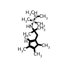 CC1=C(C)C(C)C(CC(C)(C)[NH][Ti]([CH3])([CH3])[SiH](C)C)=C1C